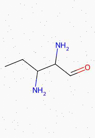 CCC(N)C(N)C=O